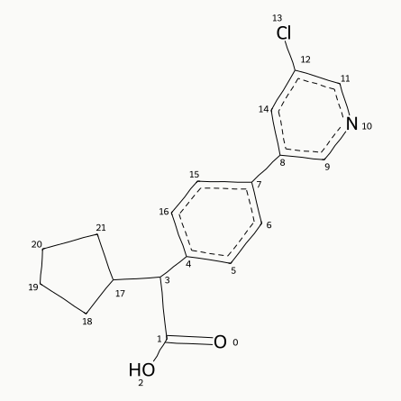 O=C(O)C(c1ccc(-c2cncc(Cl)c2)cc1)C1CCCC1